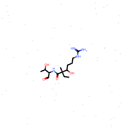 CCC(C)(C(=O)NC(C=O)C(C)O)C(O)CCCNC(=N)N